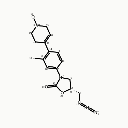 [N-]=[N+]=NC[C@H]1CN(c2ccc(C3=CC[S+]([O-])CC3)c(F)c2)C(=O)O1